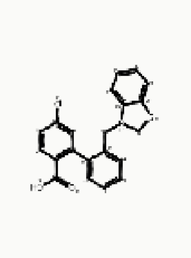 O=C(O)c1ccc(Cl)cc1-c1ccccc1CN1CSc2ccccc21